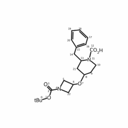 CC(C)(C)OC(=O)N1CC(OC2CCN(C(=O)O)C(Cc3ccccc3)C2)C1